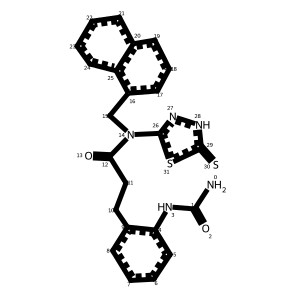 NC(=O)Nc1ccccc1CCC(=O)N(Cc1cccc2ccccc12)c1n[nH]c(=S)s1